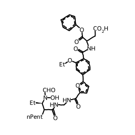 CCCCCC(C(=O)NCNC(=O)c1ccc(-c2ccc(C(=O)NC(CC(=O)O)C(=O)Oc3ccccc3)c(OCC)c2)o1)[C@@H](CC)N(O)C=O